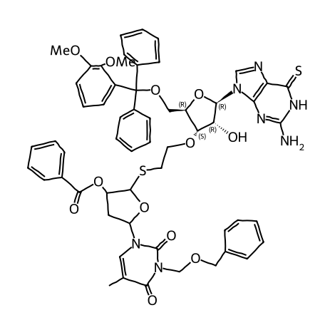 COc1cccc(C(OC[C@H]2O[C@@H](n3cnc4c(=S)[nH]c(N)nc43)[C@H](O)[C@@H]2OCCSC2OC(n3cc(C)c(=O)n(COCc4ccccc4)c3=O)CC2OC(=O)c2ccccc2)(c2ccccc2)c2ccccc2)c1OC